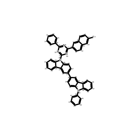 Fc1ccc2cc(-c3nc(-c4ccccc4)nc(-n4c5ccccc5c5cc(-c6ccc7c(c6)c6ccccc6n7-c6ccccc6)ccc54)n3)ccc2c1